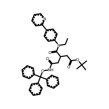 CCN(C(=O)C(CC(=O)NOC(c1ccccc1)(c1ccccc1)c1ccccc1)CC(=O)OC(C)(C)C)c1ccc(-c2ccccn2)cc1